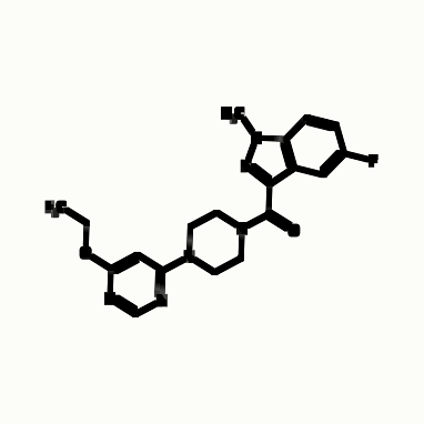 Cn1nc(C(=O)N2CCN(c3cc(OCC(F)(F)F)ncn3)CC2)c2cc(F)ccc21